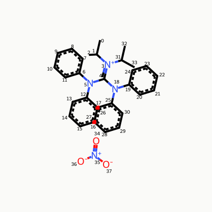 CC(C)[N+](=C(N(c1ccccc1)c1ccccc1)N(c1ccccc1)c1ccccc1)C(C)C.O=[N+]([O-])[O-]